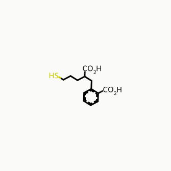 O=C(O)c1ccccc1CC(CCCS)C(=O)O